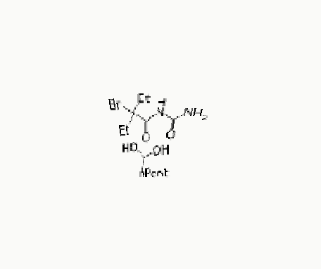 CCC(Br)(CC)C(=O)NC(N)=O.CCCCCC(O)O